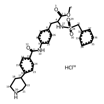 COC(=O)C(Cc1ccc(NC(=O)c2ccc(C3CCNCC3)cc2)cc1)NS(=O)(=O)Cc1ccccc1.Cl